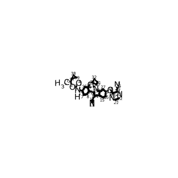 C[C@@H](OC(=O)Nc1ccc(-c2c(C#N)c3ccc(Oc4nccnc4C#N)cc3n2C2CCC2)c(Cl)c1)C1CC1